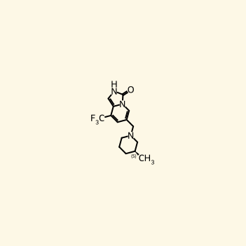 C[C@H]1CCCN(Cc2cc(C(F)(F)F)c3c[nH]c(=O)n3c2)C1